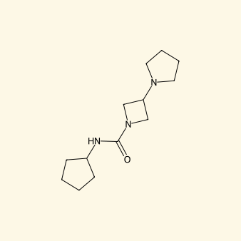 O=C(NC1CCCC1)N1CC(N2CCCC2)C1